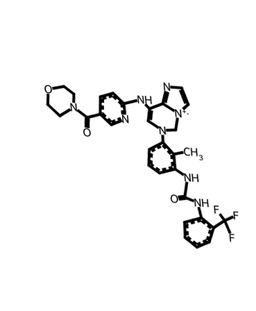 Cc1c(NC(=O)Nc2ccccc2C(F)(F)F)cccc1N1C=C(Nc2ccc(C(=O)N3CCOCC3)cn2)C2=NC=C[N+]2C1